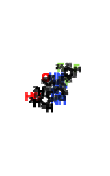 [2H]C1CC([2H])(O)C([2H])C([2H])C1Nc1ncc2nc(Nc3c(F)cc(F)cc3F)n(C3CCOC3)c2n1